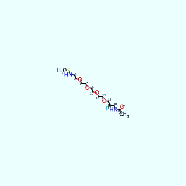 CSNCCOCCOCCOCCOCC(F)CNC(C)=O